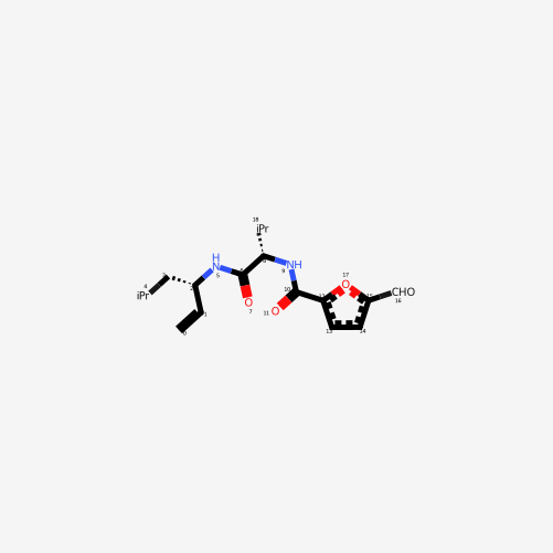 C=C[C@H](CC(C)C)NC(=O)[C@@H](NC(=O)c1ccc(C=O)o1)C(C)C